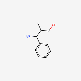 CC(CO)C(N)c1ccccc1